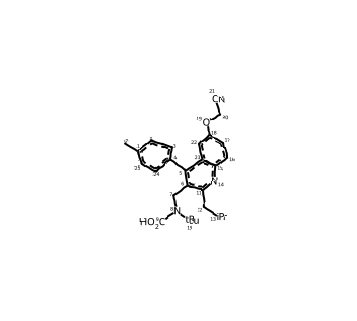 Cc1ccc(-c2c(CN(C(=O)O)C(C)(C)C)c(CC(C)C)nc3ccc(OCC#N)cc23)cc1